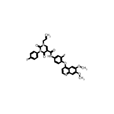 C=CCn1cc(C(=O)Nc2ccc(Oc3ccnc4cc(OC)c(OC)cc34)c(F)c2)c(=O)n(-c2ccc(F)cc2)c1=O